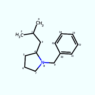 CC(C)CC1CCCN1Cc1ccccc1